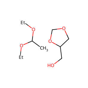 CCOC(C)OCC.OCC1COCO1